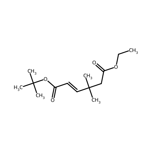 CCOC(=O)CC(C)(C)/C=C/C(=O)OC(C)(C)C